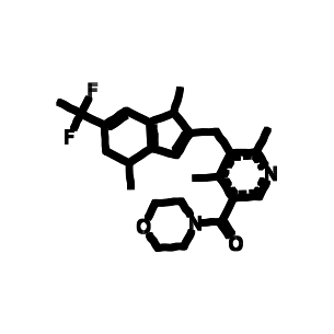 Cc1ncc(C(=O)N2CCOCC2)c(C)c1CC1=CC2=C(C=C(C(C)(F)F)CC2C)C1C